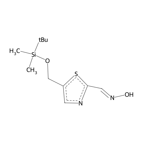 CC(C)(C)[Si](C)(C)OCc1cnc(/C=N/O)s1